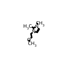 COCCN1C=CN(C)C1C